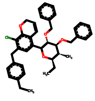 CCc1ccc(Cc2cc(C3O[C@H](CC)[C@@H](C)[C@H](OCc4ccccc4)[C@H]3OCc3ccccc3)c3c(c2Cl)OCC=C3)cc1